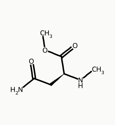 CN[C@@H](CC(N)=O)C(=O)OC